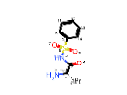 CC(C)[C@H](N)C(=O)NS(=O)(=O)c1ccccc1